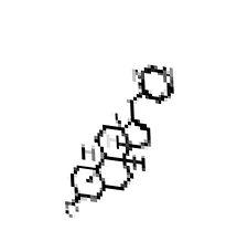 C[C@]12CCC(=O)CC1CC[C@@H]1[C@@H]2CC[C@]2(C)C(Cc3ccncn3)=CC[C@@H]12